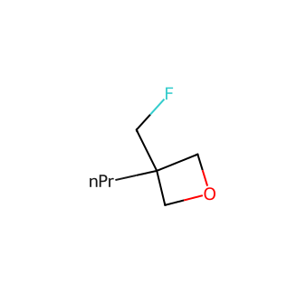 CCCC1(CF)COC1